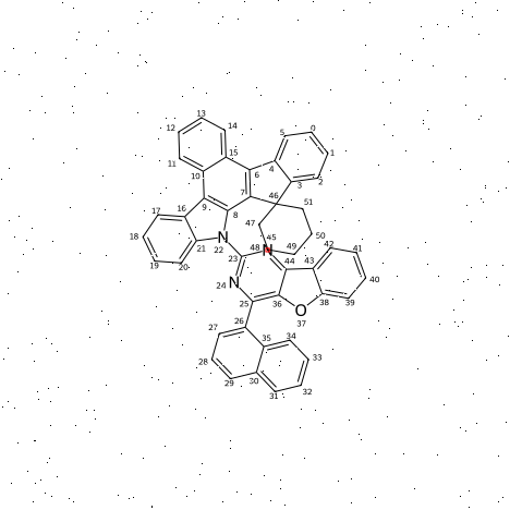 c1ccc2c(c1)-c1c(c3c(c4ccccc14)c1ccccc1n3-c1nc(-c3cccc4ccccc34)c3oc4ccccc4c3n1)C21CCCCC1